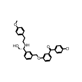 COc1ccc(CCN[C@@H](CO)c2cccc(COc3cccc(C(=O)c4ccc(Cl)cc4)c3)c2)cc1